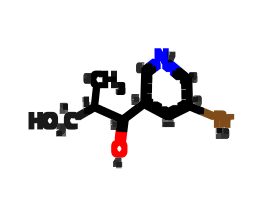 CC(C(=O)O)C(=O)c1cncc(Br)c1